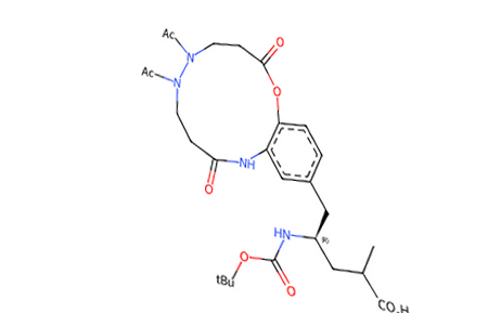 CC(=O)N1CCC(=O)Nc2cc(C[C@@H](CC(C)C(=O)O)NC(=O)OC(C)(C)C)ccc2OC(=O)CCN1C(C)=O